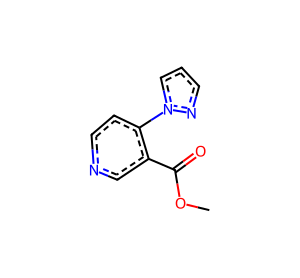 COC(=O)c1cnccc1-n1cccn1